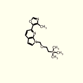 Cc1ncoc1-c1ccc2ccn(COCC[Si](C)(C)C)c2n1